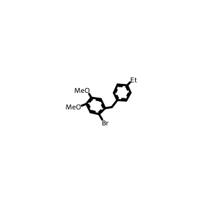 CCc1ccc(Cc2cc(OC)c(OC)cc2Br)cc1